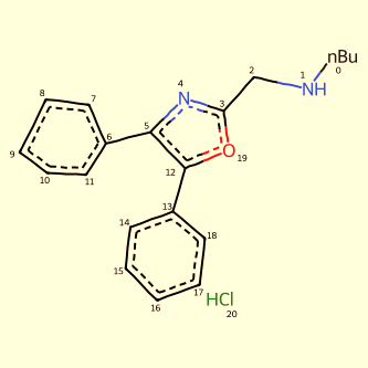 CCCCNCc1nc(-c2ccccc2)c(-c2ccccc2)o1.Cl